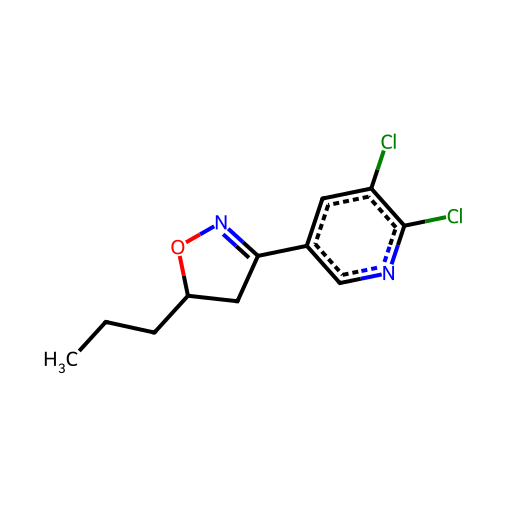 CCCC1CC(c2cnc(Cl)c(Cl)c2)=NO1